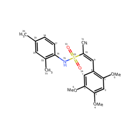 COc1cc(OC)c(OC)cc1C=C(C#N)S(=O)(=O)Nc1ccc(C)cc1C